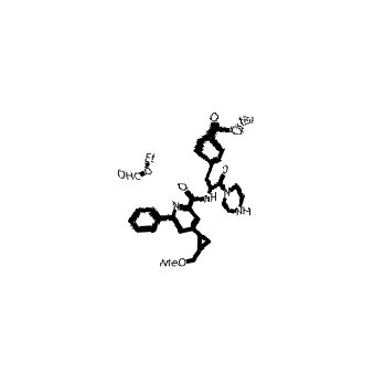 CCOC=O.COCC1CC1c1cc(C(=O)NC(Cc2ccc(C(=O)OC(C)(C)C)cc2)C(=O)N2CCNCC2)nc(-c2ccccc2)c1